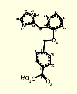 O=C(O)C(=O)c1ccc(COc2cccnc2Cc2ncc[nH]2)cc1